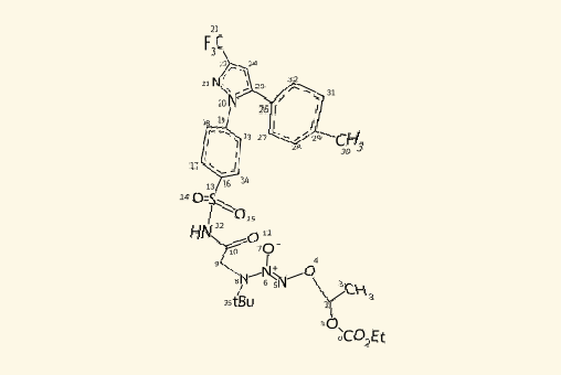 CCOC(=O)OC(C)ON=[N+]([O-])N(CC(=O)NS(=O)(=O)c1ccc(-n2nc(C(F)(F)F)cc2-c2ccc(C)cc2)cc1)C(C)(C)C